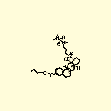 CCCCCCOc1ccc2c(c1)CCN1C[C@H]3CCCN(S(=O)(=O)CCCNS(=O)(=O)N(C)C)[C@H]3C[C@@H]21